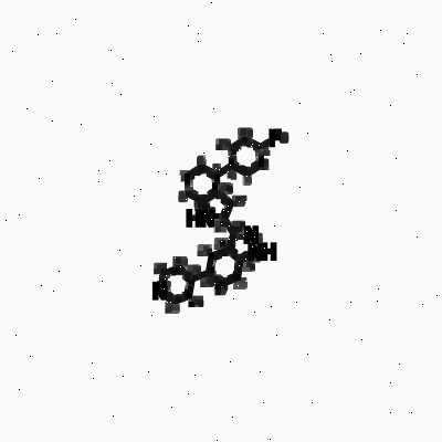 Fc1ccc(-c2cccc3[nH]c(-c4n[nH]c5ccc(-c6ccncc6)cc45)cc23)cc1